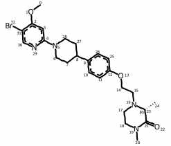 COc1cc(N2CCC(c3ccc(OCCN4CCN(C)C(=O)[C@H]4C)cc3)CC2)ncc1Br